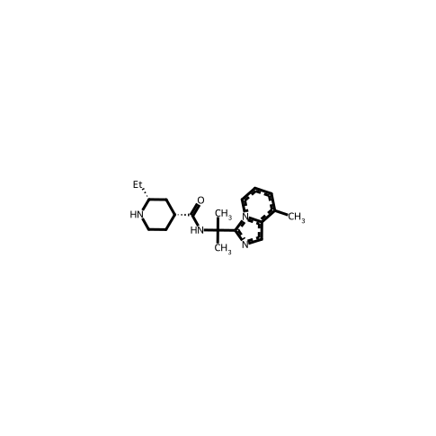 CC[C@@H]1C[C@H](C(=O)NC(C)(C)c2ncc3c(C)cccn23)CCN1